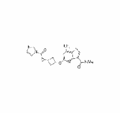 CNC(=O)c1csc2c(C(F)(F)F)cc(OC3CC(OC(=O)n4ccnc4)C3)nc12